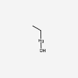 C[CH2][Hg][OH]